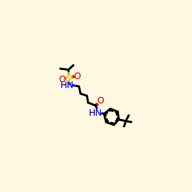 CC(C)S(=O)(=O)NCCCCC(=O)Nc1ccc(C(C)(C)C)cc1